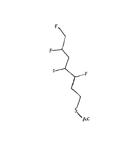 CC(=O)SCCC(F)C(F)CC(F)CF